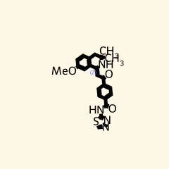 COc1ccc2c(c1)/C(=C/C(=O)c1ccc(C(=O)Nc3nncs3)cc1)NC(C)(C)C2